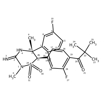 CN1C(=N)N[C@](C)(c2cc(F)ccc2F)[C@@H](c2ccc(C(=O)C(C)(C)C)c(F)c2)S1(=O)=O